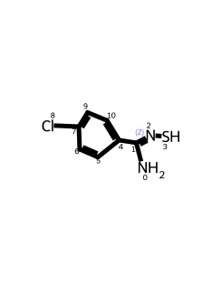 N/C(=N\S)c1ccc(Cl)cc1